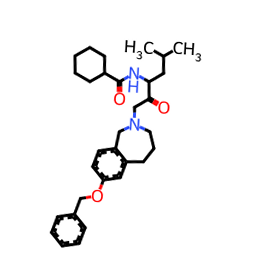 CC(C)CC(NC(=O)C1CCCCC1)C(=O)CN1CCCc2cc(OCc3ccccc3)ccc2C1